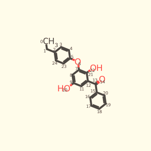 CCc1ccc(Oc2cc(O)cc(C(=O)c3ccccc3)c2O)cc1